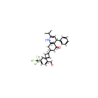 CC(C)C1=CC(c2ccccc2)C2=C(CC(C3CC4(CC(C(F)(F)F)=CC=C4C=O)C3)CC2=O)N1